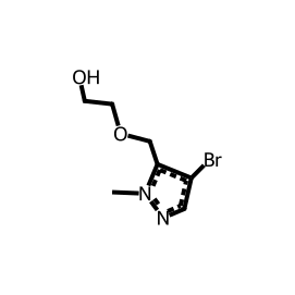 Cn1ncc(Br)c1COCCO